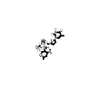 Cc1cn([C@H]2CC[C@@H](COP(=O)(O)OP(=O)(O)O[C@H]3OC(C)CC(N(C)C)C3O)O2)c(=O)[nH]c1=O